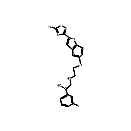 CC(C)c1nc(-c2cc3cc(OCCNC[C@H](O)c4cccc(Cl)c4)ccc3o2)no1